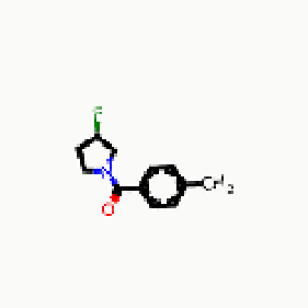 Cc1ccc(C(=O)N2CC[C@@H](F)C2)cc1